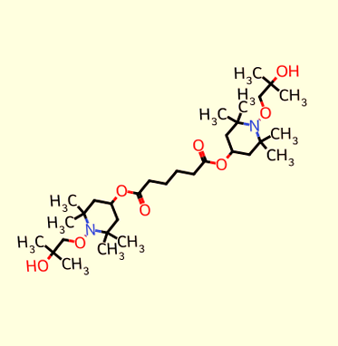 CC(C)(O)CON1C(C)(C)CC(OC(=O)CCCCC(=O)OC2CC(C)(C)N(OCC(C)(C)O)C(C)(C)C2)CC1(C)C